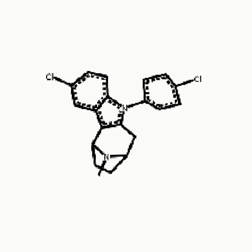 CN1C2CCC1c1c(n(-c3ccc(Cl)cc3)c3ccc(Cl)cc13)C2